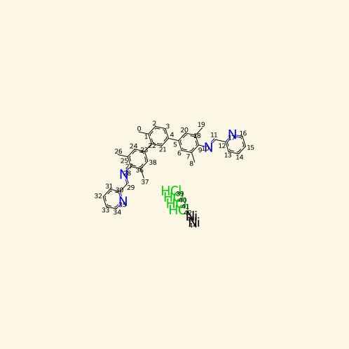 Cc1ccc(-c2cc(C)c(N=Cc3ccccn3)c(C)c2)cc1-c1cc(C)c(N=Cc2ccccn2)c(C)c1.Cl.Cl.Cl.Cl.[Ni].[Ni]